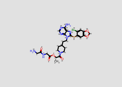 C[C@H](OC(=O)CNC(=O)CN)C(=O)N1CCC(CCn2c(Sc3cc4c(cc3Br)OCO4)nc3c(N)ncnc32)CC1